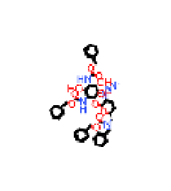 [N-]=[N+]=N[C@@H]1CC[C@@H](CN(Cc2ccccc2)C(=O)OCc2ccccc2)OC1O[C@H]1[C@H](O)[C@@H](O)[C@H](NC(=O)OCc2ccccc2)[C@@H](O)[C@@H]1NC(=O)OCc1ccccc1